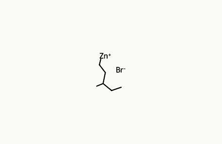 CCC(C)C[CH2][Zn+].[Br-]